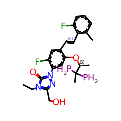 CCn1c(CO)nn(-c2cc(O[C@@H](C)C(C)(P)P)c(/C=C/c3c(C)cccc3F)cc2F)c1=O